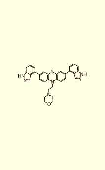 c1cc(-c2ccc3c(c2)Sc2cc(-c4cccc5[nH]ncc45)ccc2N3CCN2CCOCC2)c2cn[nH]c2c1